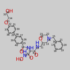 O=C(NC(C(=O)NO)C(=O)NCC1CN(Cc2ccccc2)CCO1)c1ccc(-c2ccc(OCCO)cc2)cc1